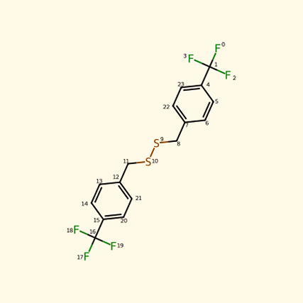 FC(F)(F)c1ccc(CSSCc2ccc(C(F)(F)F)cc2)cc1